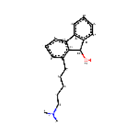 CN(C)CCCCCc1cccc2c1C(O)c1ccccc1-2